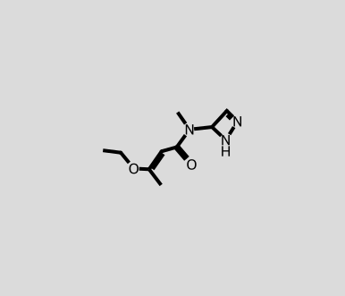 CCO/C(C)=C/C(=O)N(C)C1C=NN1